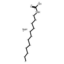 CCCCCCCCCCCCNC(=O)O.[NaH]